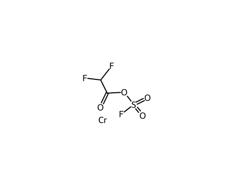 O=C(OS(=O)(=O)F)C(F)F.[Cr]